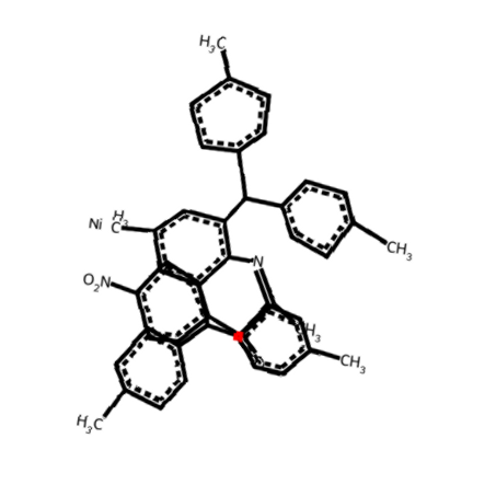 CC(=Nc1c(C(c2ccc(C)cc2)c2ccc(C)cc2)cc(C)cc1C(c1ccc(C)cc1)c1ccc(C)cc1)C(=O)c1ccc([N+](=O)[O-])cc1.[Ni]